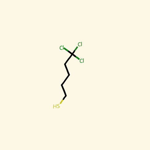 SCCCCC(Cl)(Cl)Cl